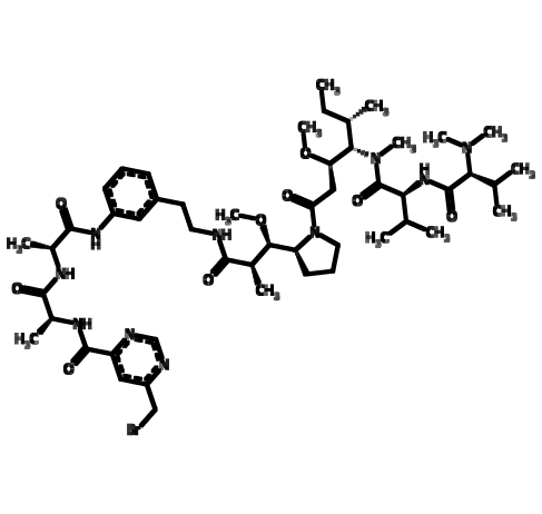 CC[C@H](C)[C@@H]([C@@H](CC(=O)N1CCC[C@H]1[C@H](OC)[C@@H](C)C(=O)NCCc1cccc(NC(=O)[C@H](C)NC(=O)[C@H](C)NC(=O)c2cc(CBr)ncn2)c1)OC)N(C)C(=O)[C@@H](NC(=O)[C@H](C(C)C)N(C)C)C(C)C